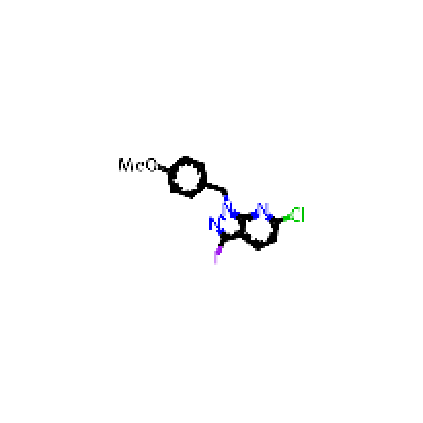 COc1ccc(Cn2nc(I)c3ccc(Cl)nc32)cc1